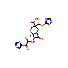 O=C(NC1C(=O)N2CC(CSc3ncns3)(C(=O)O)CS[C@H]12)C(=O)c1cscn1